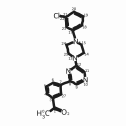 CC(=O)c1cccc(-c2cncc(N3CCN(c4cccc(Cl)c4)CC3)n2)c1